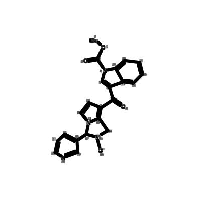 CC(C)(C)OC(=O)n1cc(C(=O)c2ccn3c2C[S+]([O-])C3c2cccnc2)c2ccccc21